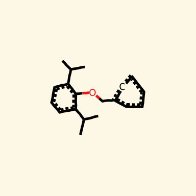 CC(C)c1cccc(C(C)C)c1OCc1ccccc1